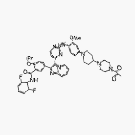 COc1cc(N2CCC(N3CCN(S(C)(=O)=O)CC3)CC2)ccc1Nc1nccc(-c2c(-c3ccc(OC(C)C)c(C(=O)NC4C(F)=CC=CC4F)c3)nc3ccccn23)n1